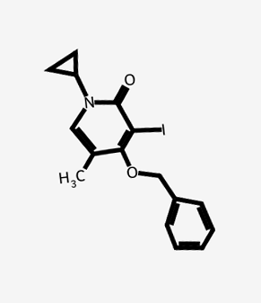 Cc1cn(C2CC2)c(=O)c(I)c1OCc1ccccc1